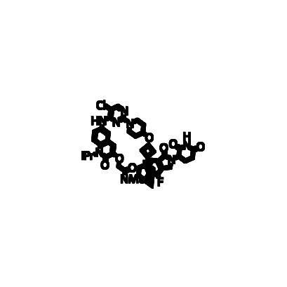 CNC(=O)COc1cc2cc(Nc3nc(N4CCC(O[C@H]5C[C@H](N6CCC7(c8ccc9c(c8F)CN(C8CCC(=O)NC8=O)C9=O)CC7C6)C5)CC4)ncc3Cl)ccc2n(C(C)C)c1=O